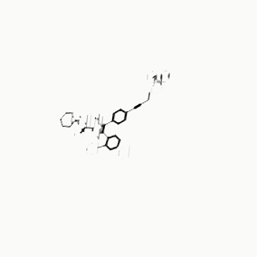 Cn1c(C(=O)NN2CCCCC2)nc(-c2ccc(Cl)cc2Cl)c1-c1ccc(C#CCCO[N+](=O)[O-])cc1